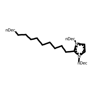 CCCCCCCCCCCCCCCCCCCc1n(CCCCCCCCCC)cc[n+]1CCCCCCCCCC